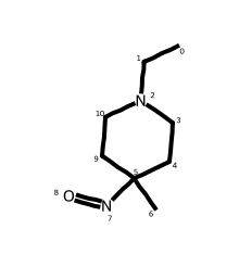 CCN1CCC(C)(N=O)CC1